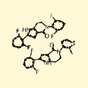 Cc1sccc1N1CCc2[nH]c(-c3c(F)cccc3F)cc2C1=O.O=C1c2cc(-c3c(F)cccc3F)[nH]c2CCN1c1c(F)cccc1F